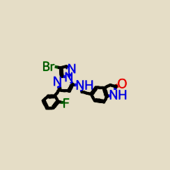 O=C1Cc2cc(CNc3cc(-c4ccccc4F)nc4c(Br)cnn34)ccc2N1